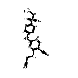 C#CCOc1nc(Nc2ccc(S(=O)(=O)CC)cc2)ncc1C#N